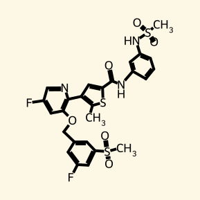 Cc1sc(C(=O)Nc2cccc(NS(C)(=O)=O)c2)cc1-c1ncc(F)cc1OCc1cc(F)cc(S(C)(=O)=O)c1